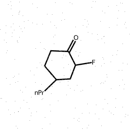 CCCC1CCC(=O)C(F)C1